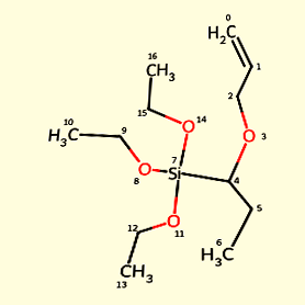 C=CCOC(CC)[Si](OCC)(OCC)OCC